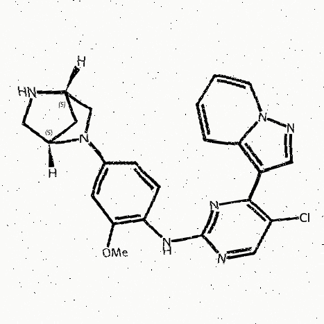 COc1cc(N2C[C@@H]3C[C@H]2CN3)ccc1Nc1ncc(Cl)c(-c2cnn3ccccc23)n1